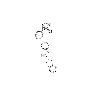 O=c1[nH]ccn1-c1cccc(-c2ccc(CNC3Cc4ccccc4C3)cc2)c1